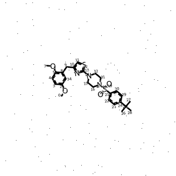 COc1ccc(OC)c(Cc2csc(N3CCN(S(=O)(=O)c4ccc(C(C)(C)C)cc4)CC3)n2)c1